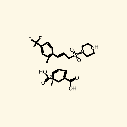 C[C@@]1(C(=O)O)C=CC=C(C(=O)O)C1.Cc1cc(C(F)(F)F)ccc1C=CCS(=O)(=O)N1CCNCC1